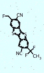 [C-]#[N+]c1cc2c(cc1C(C)(F)F)sc1c3cc(C#N)c(CF)cc3sc21